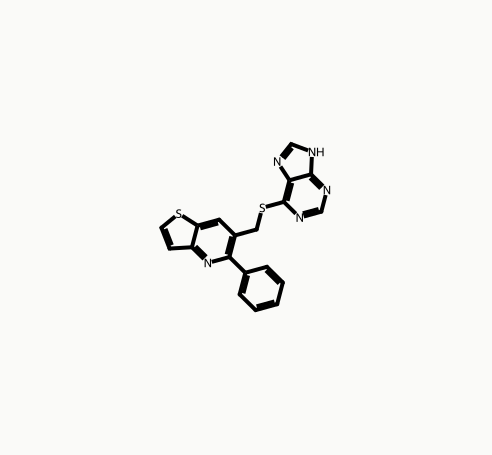 c1ccc(-c2nc3ccsc3cc2CSc2ncnc3[nH]cnc23)cc1